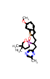 COc1ccc2cc(CC(Cc3cncc(C)n3)P3(=O)CCC(C)(C)CO3)sc2c1